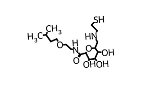 CC(C)CCOCCNC(=O)C1OC(CNCCS)C(O)C(O)C1O